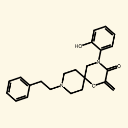 C=C1OC2(CCN(CCc3ccccc3)CC2)CN(c2ccccc2O)C1=O